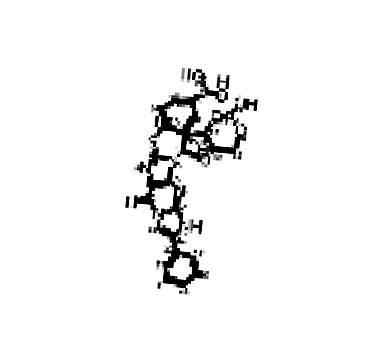 O=c1c2nc(Sc3ccc(B(O)O)cc3)n([C@@H]3OC4COP(O)O[C@H]4[C@@H]3O)c2nc2[nH]c(-c3ccccc3)cn12